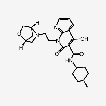 C[C@H]1CC[C@@H](NC(=O)c2c(O)c3cccnc3n(CCN3C[C@H]4C[C@@H]3CO4)c2=O)CC1